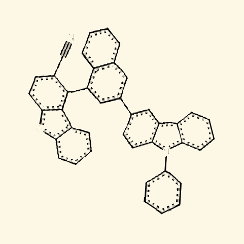 N#Cc1ccc2oc3ccccc3c2c1-c1cc(-c2ccc3c(c2)c2ccccc2n3-c2ccccc2)cc2ccccc12